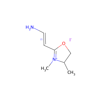 CC1COC(/C=C/N)=[N+]1C.[I-]